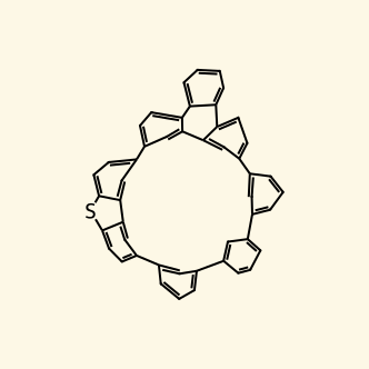 c1cc2cc(c1)c1cccc(c1)c1ccc3c4ccccc4c4ccc(cc4c3c1)c1ccc3sc4ccc(cc4c3c1)c1cccc2c1